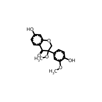 COc1cc(C2(OC)COc3cc(O)ccc3C2=O)ccc1O